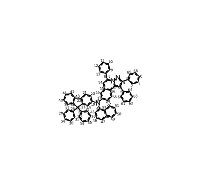 c1ccc(-c2nn3c(-c4ccccc4)cc4cc(N(c5ccc6c(c5)C(c5ccccc5)(c5ccccc5)c5ccccc5-6)c5cccc6ccccc56)ccc4c3c2-c2ccccc2)cc1